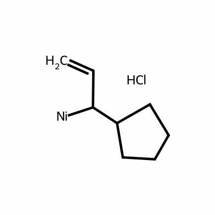 C=C[CH]([Ni])C1CCCC1.Cl